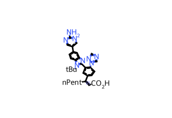 CCCCC/C(=C/C(=O)O)c1ccc(-n2cncn2)c(-c2nc3cc(-c4cnc(N)nc4)ccc3n2C(C)(C)C)c1